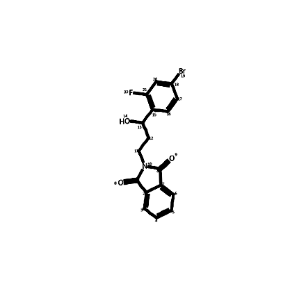 O=C1c2ccccc2C(=O)N1CCC(O)c1ccc(Br)cc1F